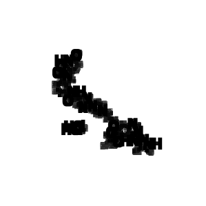 Cc1[nH]nc(Nc2ncnc3cc(OCCCN4CCN(c5ncc(C(=O)Nc6cccc7c6CN(C6CCC(=O)NC6=O)C7=O)cn5)CC4)c(S(=O)(=O)C(C)(C)C)cc23)c1C.Cl.Cl